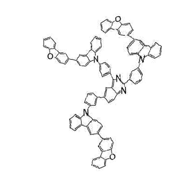 c1cc(-c2ccc3nc(-c4cccc(-n5c6ccccc6c6cc(-c7ccc8oc9ccccc9c8c7)ccc65)c4)nc(-c4ccc(-n5c6ccccc6c6cc(-c7ccc8oc9ccccc9c8c7)ccc65)cc4)c3c2)cc(-n2c3ccccc3c3cc(-c4ccc5oc6ccccc6c5c4)ccc32)c1